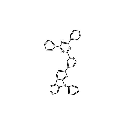 c1ccc(-c2nc(-c3ccccc3)nc(-c3cc(-c4ccc5c6ccccc6n(-c6ccccc6)c5c4)ccn3)n2)cc1